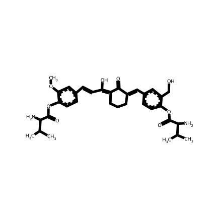 COc1cc(/C=C/C(O)=C2\CCC/C(=C\c3ccc(OC(=O)C(N)C(C)C)c(CO)c3)C2=O)ccc1OC(=O)C(N)C(C)C